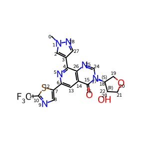 Cn1cc(-c2nc(-c3cnc(C(F)(F)F)s3)cc3c(=O)n([C@H]4COC[C@@H]4O)cnc23)cn1